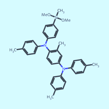 CO[Si](C)(OC)c1ccc(N(c2ccc(C)cc2)c2ccc(N(c3ccc(C)cc3)c3ccc(C)cc3)cc2C)cc1